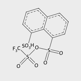 O=S(=O)(O)c1cccc2cccc(S(=O)(=O)OS(=O)(=O)C(F)(F)F)c12